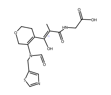 C/C(C(=O)NCC(=O)O)=C(/O)C1=C(N(C=O)Cc2cncs2)COCC1